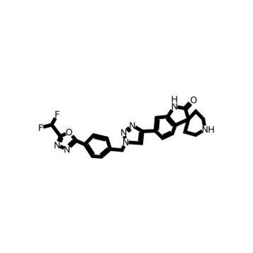 O=C1Nc2cc(-c3cn(Cc4ccc(-c5nnc(C(F)F)o5)cc4)nn3)ccc2C12CCNCC2